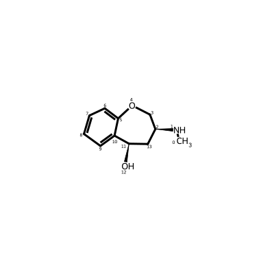 CN[C@@H]1COc2ccccc2[C@H](O)C1